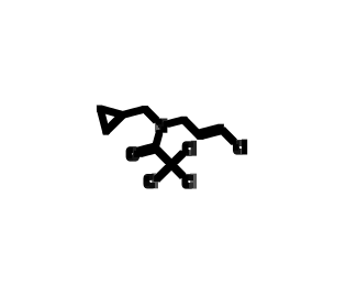 O=C(N(CC=CCl)CC1CC1)C(Cl)(Cl)Cl